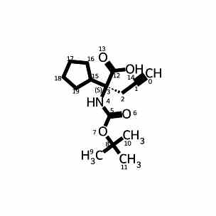 C#CC[C@@](NC(=O)OC(C)(C)C)(C(=O)O)C1CCCC1